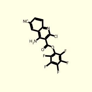 N#Cc1ccc2nc(Cl)c(C(=O)Oc3c(F)c(F)c(F)c(F)c3F)c(N)c2c1